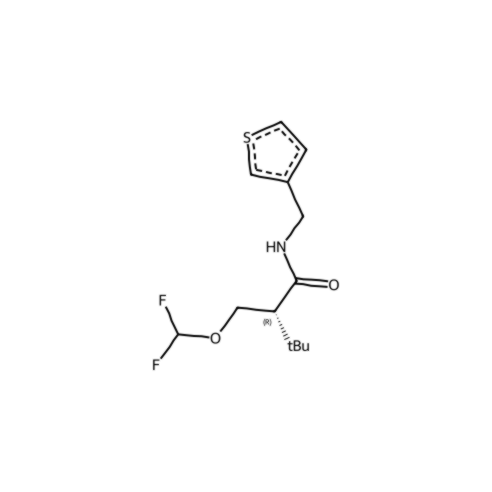 CC(C)(C)[C@H](COC(F)F)C(=O)NCc1ccsc1